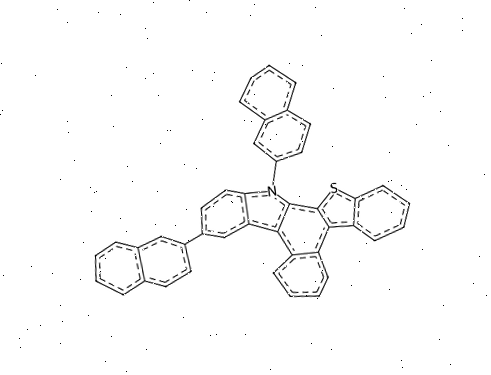 c1ccc2cc(-c3ccc4c(c3)c3c5ccccc5c5c6ccccc6sc5c3n4-c3ccc4ccccc4c3)ccc2c1